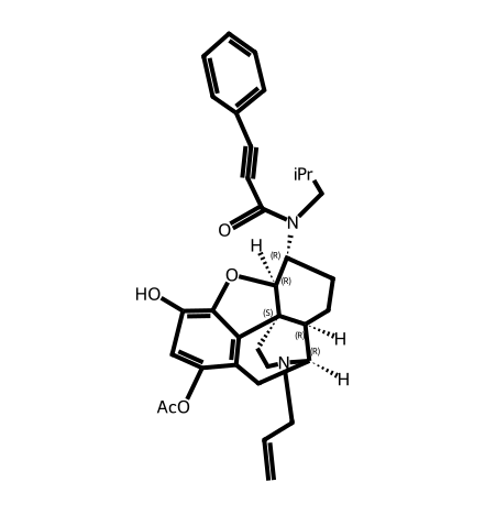 C=CCN1CC[C@]23c4c5c(OC(C)=O)cc(O)c4O[C@H]2[C@H](N(CC(C)C)C(=O)C#Cc2ccccc2)CC[C@H]3[C@H]1C5